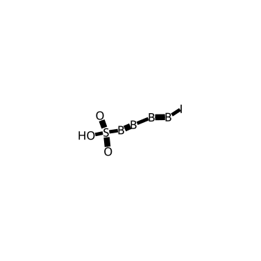 O=S(=O)(O)/B=B\B=B/I